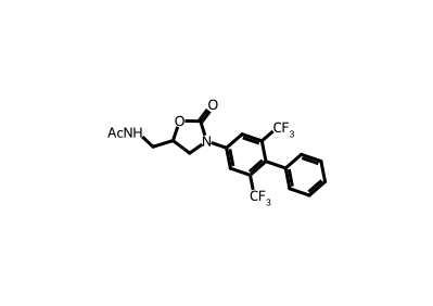 CC(=O)NCC1CN(c2cc(C(F)(F)F)c(-c3ccccc3)c(C(F)(F)F)c2)C(=O)O1